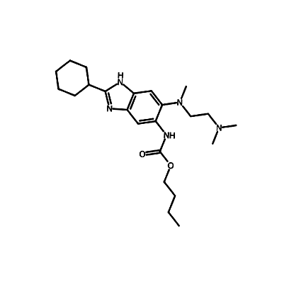 CCCCOC(=O)Nc1cc2nc(C3CCCCC3)[nH]c2cc1N(C)CCN(C)C